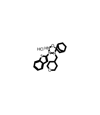 Cl.c1ccc2sc(N3NO[C@@]4(CC5CCC4CC5)N3CC3CCOCC3)cc2c1